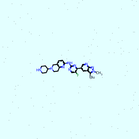 Cn1nc2ncc(-c3nc(Nc4ccc5c(n4)CCN(C4CCNCC4)C5)ncc3F)cc2c1C(C)(C)C